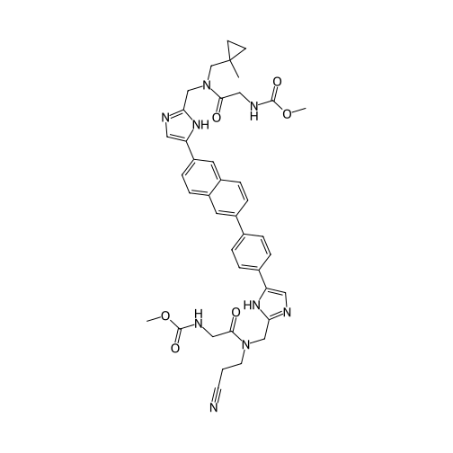 COC(=O)NCC(=O)N(CCC#N)Cc1ncc(-c2ccc(-c3ccc4cc(-c5cnc(CN(CC6(C)CC6)C(=O)CNC(=O)OC)[nH]5)ccc4c3)cc2)[nH]1